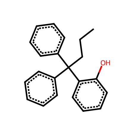 CCCC(c1ccccc1)(c1ccccc1)c1ccccc1O